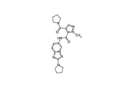 Cn1ncc(C(=O)N2CCCC2)c1C(=O)Nc1ccc2nc(N3CCCC3)nn2c1